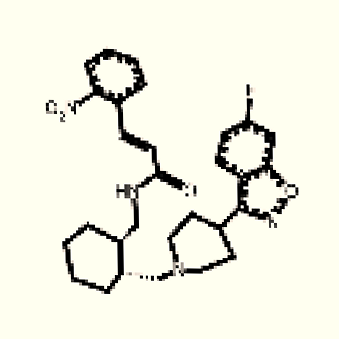 O=C(/C=C/c1ccccc1[N+](=O)[O-])NC[C@@H]1CCCC[C@H]1CN1CCC(c2noc3cc(F)ccc23)CC1